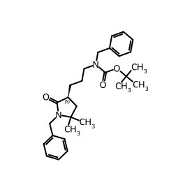 CC(C)(C)OC(=O)N(CCC[C@H]1CC(C)(C)N(Cc2ccccc2)C1=O)Cc1ccccc1